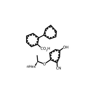 CCCCCC[C@@H](C)Oc1ccc(O)cc1C#N.O=C(O)c1ccccc1-c1ccccc1